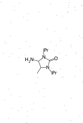 CC(C)N1C(=O)N(C(C)C)C(N)C1C